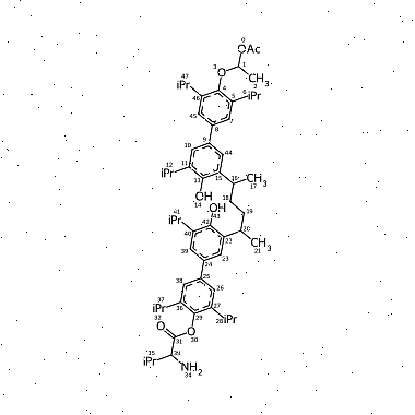 CC(=O)OC(C)Oc1c(C(C)C)cc(-c2cc(C(C)C)c(O)c(C(C)CCC(C)c3cc(-c4cc(C(C)C)c(OC(=O)C(N)C(C)C)c(C(C)C)c4)cc(C(C)C)c3O)c2)cc1C(C)C